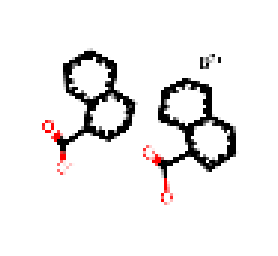 O=C([O-])c1cccc2ccccc12.O=C([O-])c1cccc2ccccc12.[B+2]